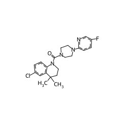 CC1(C)CCN(C(=O)N2CCN(c3ccc(F)cn3)CC2)c2ccc(Cl)cc21